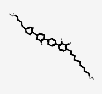 CCCCCCCCCCc1ccc(-c2ccc(-c3ccc(C4=CCC(CCCCC)CC4)cc3F)cc2)c(F)c1F